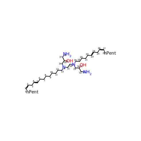 CCCCC/C=C\C/C=C/CCCCCCCCN(CCN(CCCCC/C=C/C/C=C\CCCCC)CC(O)CN)CC(O)CN